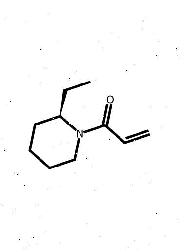 C=CC(=O)N1CCCC[C@H]1CC